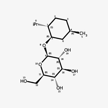 CC(C)[C@@H]1CC[C@@H](C)C[C@H]1O[C@@H]1O[C@H](CO)[C@@H](O)[C@H](O)[C@H]1O